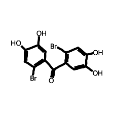 O=C(c1cc(O)c(O)cc1Br)c1cc(O)c(O)cc1Br